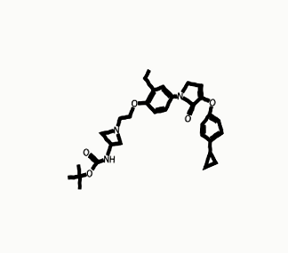 CCc1cc(N2CC=C(Oc3ccc(C4CC4)cc3)C2=O)ccc1OCCN1CC(NC(=O)OC(C)(C)C)C1